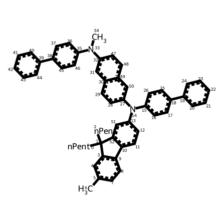 CCCCCC1(CCCCC)c2cc(C)ccc2-c2ccc(N(c3ccc(-c4ccccc4)cc3)c3ccc4cc(N(C)c5ccc(-c6ccccc6)cc5)ccc4c3)cc21